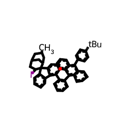 CC1CC2CC(I)C3(c4ccccc4-c4c(-c5ccccc5-c5c6ccccc6c(-c6ccc(C(C)(C)C)cc6)c6ccccc56)cccc43)C(C1)C2